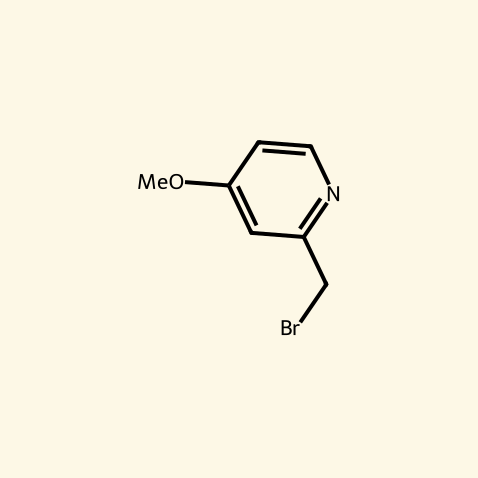 COc1ccnc(CBr)c1